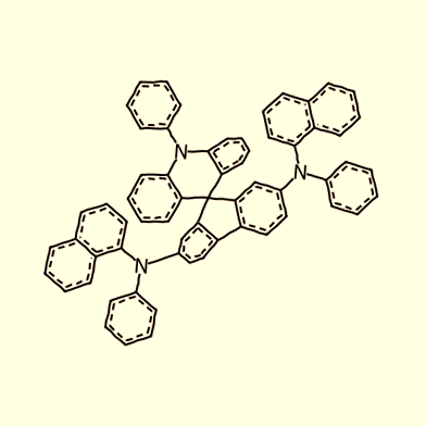 c1ccc(N2c3ccccc3C3(c4cc(N(c5ccccc5)c5cccc6ccccc56)ccc4-c4ccc(N(c5ccccc5)c5cccc6ccccc56)cc43)c3ccccc32)cc1